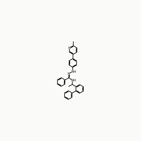 Cc1ccc(-c2ccc(N/N=C(\NC(C)c3ccccc3-c3ccccc3)c3ccccc3)cc2)cn1